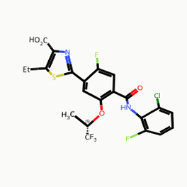 CCc1sc(-c2cc(O[C@@H](C)C(F)(F)F)c(C(=O)Nc3c(F)cccc3Cl)cc2F)nc1C(=O)O